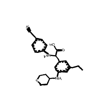 CCc1cc(NC2CCSCC2)cc(C(Nc2ccc(C#N)cc2)C(=O)O)c1